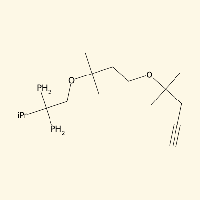 C#CCC(C)(C)OCCC(C)(C)OCC(P)(P)C(C)C